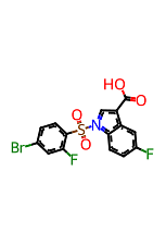 O=C(O)c1cn(S(=O)(=O)c2ccc(Br)cc2F)c2ccc(F)cc12